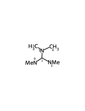 CNC(NC)N(C)C